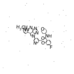 Cn1ccc(-c2cn(-c3cncc(COc4cc(F)ccc4C(=O)NC4CCOCC4)c3)c3ncnc(N)c23)n1